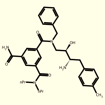 CCCN(CCC)C(=O)c1cc(C(N)=O)cc(C(=O)N(Cc2ccccc2)C[C@@H](O)[C@@H](N)Cc2ccc(C)cc2)c1